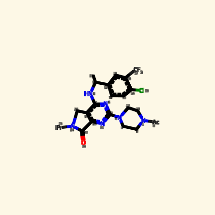 CC(=O)N1CCN(c2nc(NC(C)c3ccc(Cl)c(C(F)(F)F)c3)c3c(n2)C(=O)N(C(C)C)C3)CC1